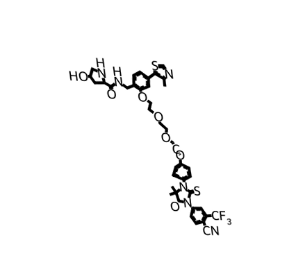 Cc1ncsc1-c1ccc(CNC(=O)C2CC(O)CN2)c(OCCOCCOCCOc2ccc(N3C(=S)N(c4ccc(C#N)c(C(F)(F)F)c4)C(=O)C3(C)C)cc2)c1